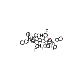 CC1(C)c2cc(N(c3ccccc3)c3ccc4ccccc4c3)ccc2-c2c1cc1c(-c3ccc(F)cc3-c3ccccc3)c3c(cc1c2-c1ccc(F)cc1-c1ccccc1)C(C)(C)c1cc(N(c2ccccc2)c2ccc4ccccc4c2)ccc1-3